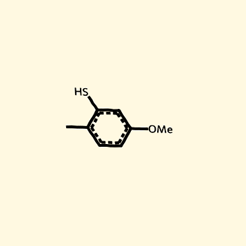 COc1ccc(C)c(S)c1